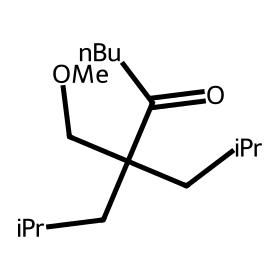 [CH2]C(C)CC(COC)(CC(C)C)C(=O)CCCC